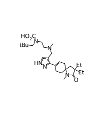 CCC1(CC)CC2(CC=C(c3n[nH]cc3CN(C)CCN(CC(C)(C)C)C(=O)O)CC2)N(C)C1=O